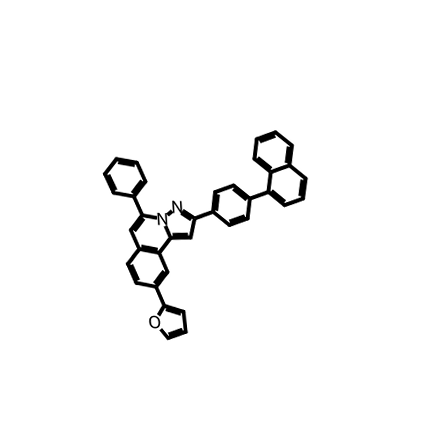 c1ccc(-c2cc3ccc(-c4ccco4)cc3c3cc(-c4ccc(-c5cccc6ccccc56)cc4)nn23)cc1